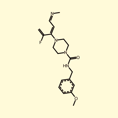 C=C(F)/C(=C\C=N/C)N1CCN(C(=O)NCc2cccc(OC)c2)CC1